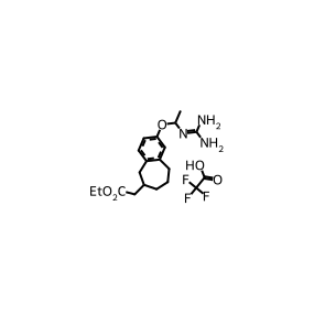 CCOC(=O)CC1CCCc2cc(OC(C)N=C(N)N)ccc2C1.O=C(O)C(F)(F)F